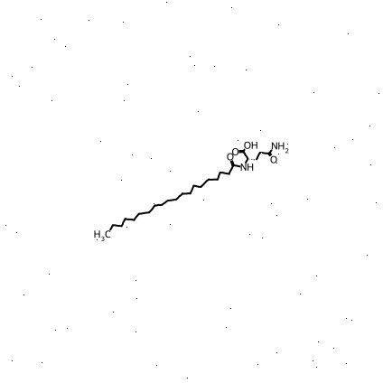 CCCCCCCCCCCCCCCCCCCC(=O)N[C@@H](CCC(N)=O)C(=O)O